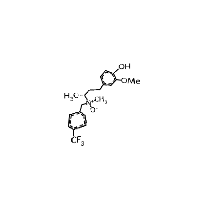 COc1cc(CC[C@@H](C)[N+](C)([O-])Cc2ccc(C(F)(F)F)cc2)ccc1O